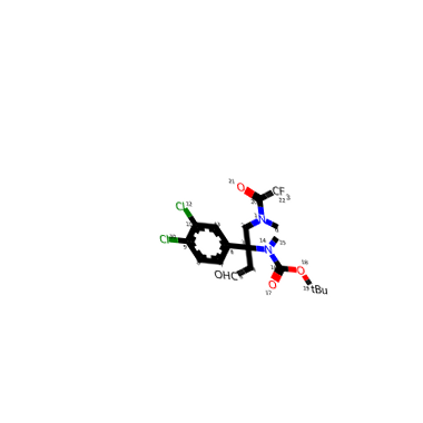 CN(CC(CC=O)(c1ccc(Cl)c(Cl)c1)N(C)C(=O)OC(C)(C)C)C(=O)C(F)(F)F